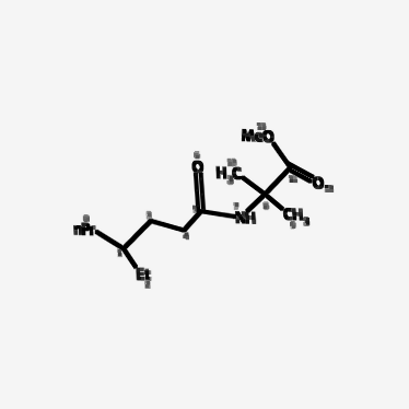 CCCC(CC)CCC(=O)NC(C)(C)C(=O)OC